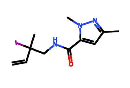 C=CC(C)(I)CNC(=O)c1cc(C)nn1C